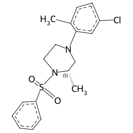 Cc1ccc(Cl)cc1N1CCN(S(=O)(=O)c2ccccc2)[C@@H](C)C1